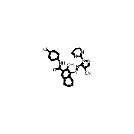 N#Cc1cnn(C2=NCCC=N2)c1/N=N/c1c(O)c(C(=O)Nc2ccc(Cl)cc2)cc2ccccc12